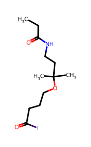 CCC(=O)NCCC(C)(C)OCCCC(=O)I